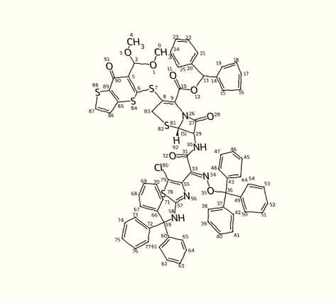 COC(OC)c1c(SC2=C(C(=O)OC(c3ccccc3)c3ccccc3)N3C(=O)C(NC(=O)C(=NOC(c4ccccc4)(c4ccccc4)c4ccccc4)c4nc(NC(c5ccccc5)(c5ccccc5)c5ccccc5)sc4Cl)[C@@H]3SC2)sc2ccsc2c1=O